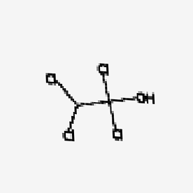 OC(Cl)(Cl)[C](Cl)Cl